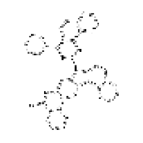 O=c1[nH]c2cc3c(cc2c2ccccc12)c1c2ccccc2ccc1n3-c1nc(-c2ccccc2)c2ccc3ccccc3c2n1